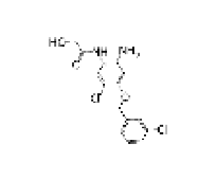 Nc1cc(OCc2cccc(Cl)c2)c(Cl)cc1NC(=O)CO